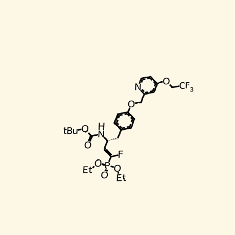 CCOP(=O)(OCC)/C(F)=C/[C@@H](Cc1ccc(OCc2cc(OCC(F)(F)F)ccn2)cc1)NC(=O)OC(C)(C)C